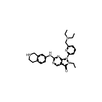 CCN(CC)Cc1cccc(-n2c3nc(Nc4ccc5c(c4)CNCC5)ncc3c(=O)n2CC)n1